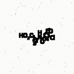 O=C(O)Cc1cscc1NC(=O)c1cc2ccoc2c(Cl)n1